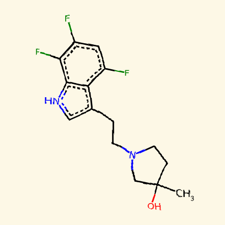 CC1(O)CCN(CCc2c[nH]c3c(F)c(F)cc(F)c23)C1